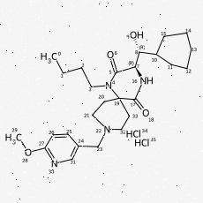 CCCCN1C(=O)[C@@H]([C@H](O)C2CCCCC2)NC(=O)C12CCN(Cc1ccc(OC)nc1)CC2.Cl.Cl